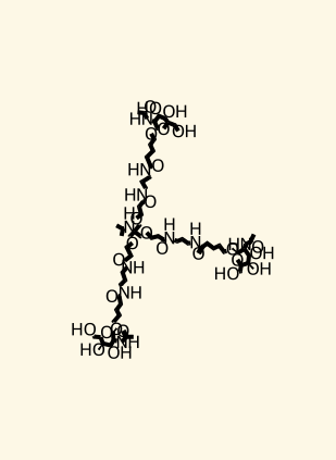 CC(=O)NC1[C@H](OCCCCC(=O)NCCCNC(=O)CCOCC(COCCC(=O)NCCCNC(=O)CCCCO[C@@H]2OC(CO)[C@H](O)[C@H](O)C2NC(C)=O)(COCCC(=O)NCCCNC(=O)CCCCO[C@@H]2OC(CO)[C@H](O)[C@H](O)C2NC(C)=O)NC(C)C)OC(CO)[C@H](O)[C@@H]1O